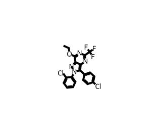 CCOc1nc(C(F)(F)F)nc2c(-c3ccc(Cl)cc3)n(-c3ccccc3Cl)nc12